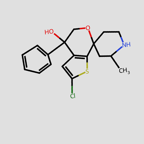 CC1CC2(CCN1)OCC(O)(c1ccccc1)c1cc(Cl)sc12